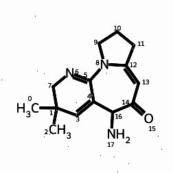 CC1(C)C=C2C(=NC1)N1CCCC1=CC(=O)C2N